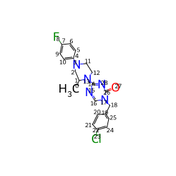 CC1CN(c2ccc(F)cc2)CCN1c1ncn(Cc2ccc(Cl)cc2)c(=O)n1